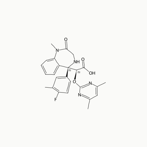 Cc1cc(C)nc(O[C@H](C(=O)O)[C@@]2(c3ccc(F)c(C)c3)NCC(=O)N(C)c3ccccc32)n1